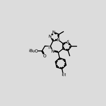 CCc1ccc(C2=N[C@@H](CC(=O)OCC(C)C)c3nnc(C)n3-c3sc(C)c(C)c32)cc1